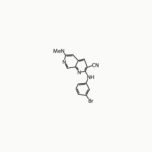 CNc1cc2cc(C#N)c(Nc3cccc(Br)c3)nc2cn1